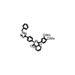 COc1ccc(C2=NN(c3ccc(-c4nnn(Cc5ccccc5)n4)cc3)C(=O)[C@@H]3CC=CC[C@H]23)cc1OC